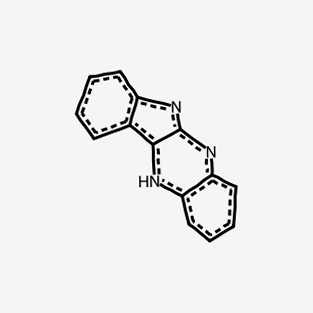 c1ccc2[nH]c3c4ccccc4nc-3nc2c1